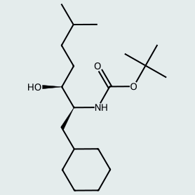 CC(C)CC[C@H](O)[C@H](CC1CCCCC1)NC(=O)OC(C)(C)C